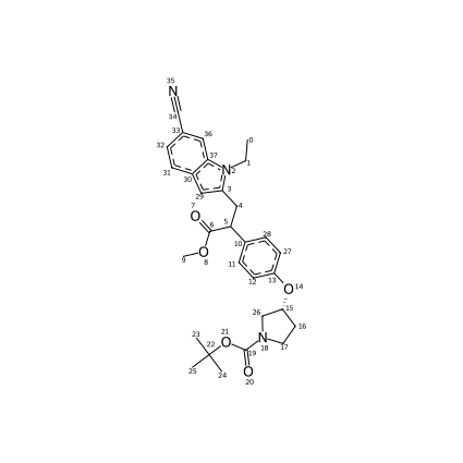 CCn1c(CC(C(=O)OC)c2ccc(O[C@@H]3CCN(C(=O)OC(C)(C)C)C3)cc2)cc2ccc(C#N)cc21